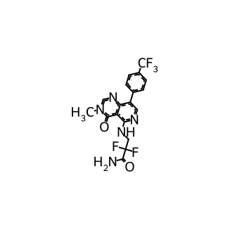 Cn1cnc2c(-c3ccc(C(F)(F)F)cc3)cnc(NCC(F)(F)C(N)=O)c2c1=O